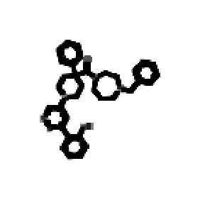 O=C(N1CCCN(Cc2ccccc2)CC1)C1(c2ccccc2)CCN(c2cnnc(-c3ccccc3O)c2)CC1